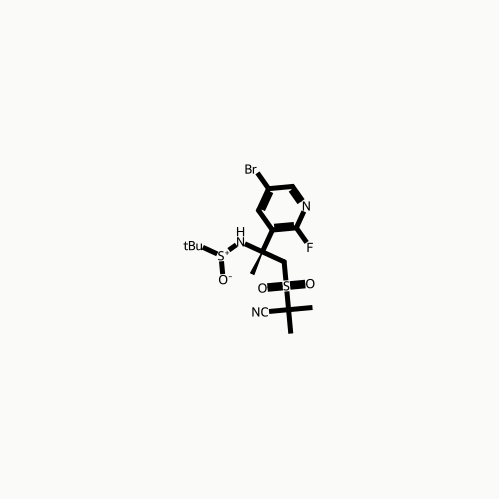 CC(C)(C)[S+]([O-])N[C@@](C)(CS(=O)(=O)C(C)(C)C#N)c1cc(Br)cnc1F